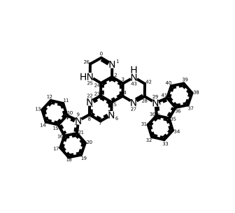 C1=Nc2c3c(c4ncc(-n5c6ccccc6c6ccccc65)nc4c2NC1)N=C(n1c2ccccc2c2ccccc21)CN3